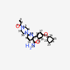 C=CC(=O)N1CCN(c2ccc(C(N)=O)c(-c3ccc(OC4CCCCC4)cc3)n2)CC1